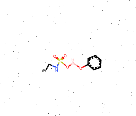 CC(C)CNS(=O)(=O)OBOc1ccccc1